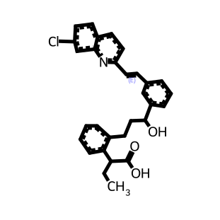 CCC(C(=O)O)c1ccccc1CCC(O)c1cccc(/C=C/c2ccc3ccc(Cl)cc3n2)c1